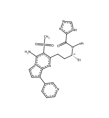 CCCN(C(=O)c1nnc[nH]1)[C@H](CC)CCc1nc2c(-c3cccnc3)ccn2c(N)c1S(C)(=O)=O